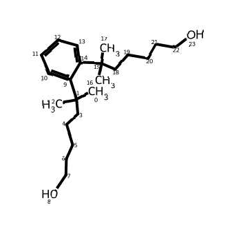 CC(C)(CCCCCO)c1ccccc1C(C)(C)CCCCCO